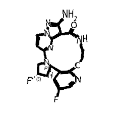 Nc1nn2ccc3nc2c1C(=O)NCCCc1ncc(F)cc1[C@H]1C[C@H](F)CN31